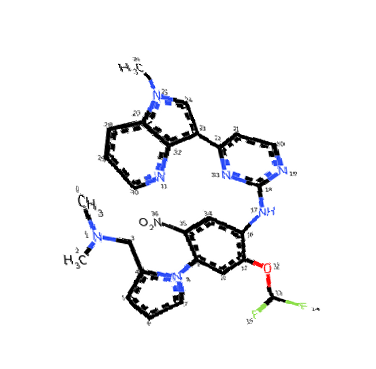 CN(C)Cc1cccn1-c1cc(OC(F)F)c(Nc2nccc(-c3cn(C)c4cccnc34)n2)cc1[N+](=O)[O-]